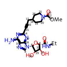 CCNC(=O)[C@H]1O[C@@H](n2cnc3c(N)nc(C#CCC4CCN(C(=O)OC)CC4)nc32)[C@H](O)[C@@H]1O